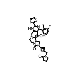 Cc1c(F)cccc1C1N=C(c2nccs2)NC(CN2CCN3C(=O)N(C45CC(CN6CCCC6=O)(C4)C5)CC3C2)=C1C(=O)O